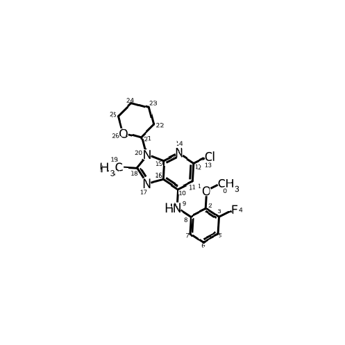 COc1c(F)cccc1Nc1cc(Cl)nc2c1nc(C)n2C1CCCCO1